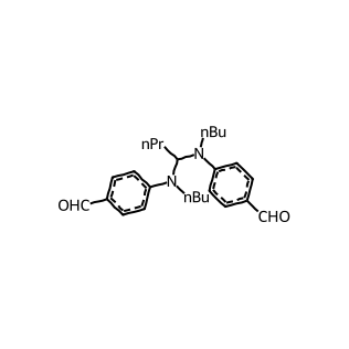 CCCCN(c1ccc(C=O)cc1)C(CCC)N(CCCC)c1ccc(C=O)cc1